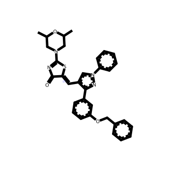 CC1CN(C2=NC(=O)/C(=C/c3cn(-c4ccccc4)nc3-c3cccc(OCc4ccccc4)c3)S2)CC(C)O1